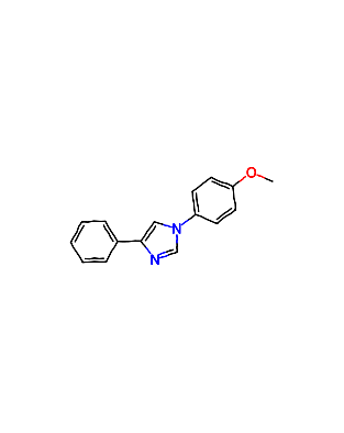 COc1ccc(-n2cnc(-c3ccccc3)c2)cc1